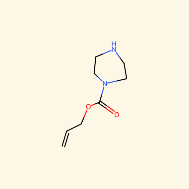 C=CCOC(=O)N1CCNCC1